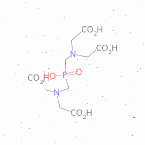 O=C(O)CN(CC(=O)O)CP(=O)(O)CN(CC(=O)O)CC(=O)O